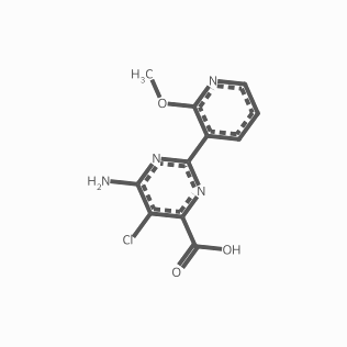 COc1ncccc1-c1nc(N)c(Cl)c(C(=O)O)n1